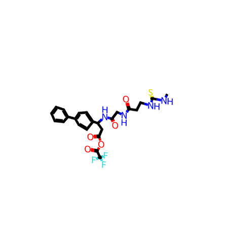 CNC(=S)NCCC(=O)NCC(=O)NC(CC(=O)OC(=O)C(F)(F)F)c1ccc(-c2ccccc2)cc1